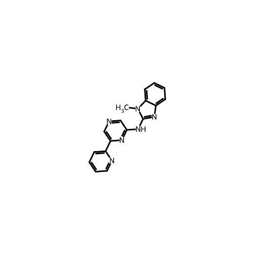 Cn1c(Nc2cncc(-c3ccccn3)n2)nc2ccccc21